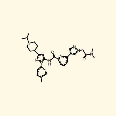 Cc1ccc(-n2nc(C3CCN(C(C)C)CC3)cc2NC(=O)c2cccc(-c3cnn(CC(=O)N(C)C)c3)n2)nc1